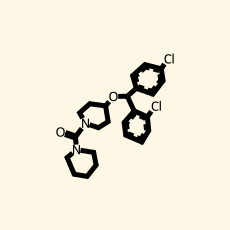 O=C(N1CCCCC1)N1CCC(OC(c2ccc(Cl)cc2)c2ccccc2Cl)CC1